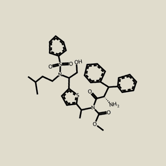 COC(=O)N(C(=O)[C@@H](N)C(c1ccccc1)c1ccccc1)C(C)c1ccc(C(CO)N(CCC(C)C)S(=O)(=O)c2ccccc2)s1